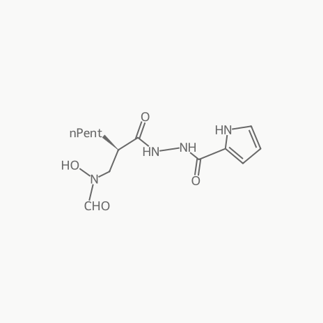 CCCCC[C@H](CN(O)C=O)C(=O)NNC(=O)c1ccc[nH]1